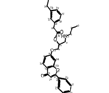 CCCNCC(COc1ccc2c(=O)cc(-c3ccccc3)oc2c1)OC(=O)Cc1cccc(CCC)c1